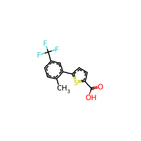 Cc1ccc(C(F)(F)F)cc1-c1ccc(C(=O)O)s1